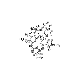 CCC(CC)(c1ccc(Nc2ncc(C(F)(F)F)c(Nc3ccc(N4CCN5CCOCC5C4)c4c3C(=O)N(C)C4)n2)c(OC)c1)P(=O)(O)O